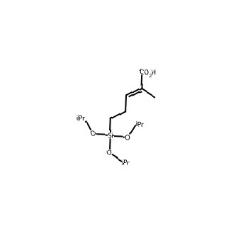 CC(=CCC[Si](OC(C)C)(OC(C)C)OC(C)C)C(=O)O